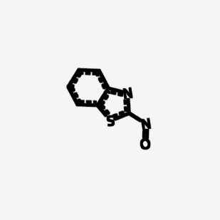 O=Nc1nc2ccccc2s1